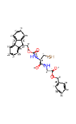 O=C(CNC(=O)[C@H](CS)NC(=O)OCC1c2ccccc2-c2ccccc21)OCc1ccccc1